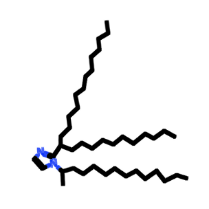 CCCCCCCCCCCCCC(CCCCCCCCCCC)c1nccn1C(C)CCCCCCCCCCCC